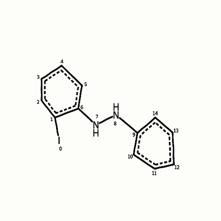 Ic1ccccc1NNc1ccccc1